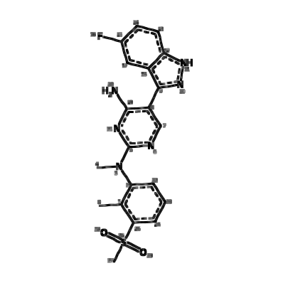 Cc1c(N(C)c2ncc(-c3n[nH]c4ccc(F)cc34)c(N)n2)cccc1S(C)(=O)=O